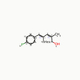 CCCCCCC(/C=C(/C)CO)=C\c1ccc(F)cc1